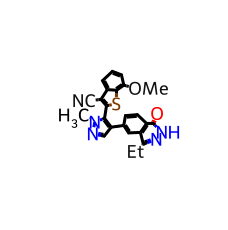 CCc1n[nH]c(=O)c2ccc(-c3cnn(C)c3-c3sc4c(OC)cccc4c3C#N)cc12